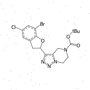 CC(C)(C)OC(=O)N1CCn2nnc(C3Cc4cc(Cl)cc(Br)c4O3)c2C1